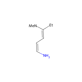 CC/C(=C/C=C\N)NC